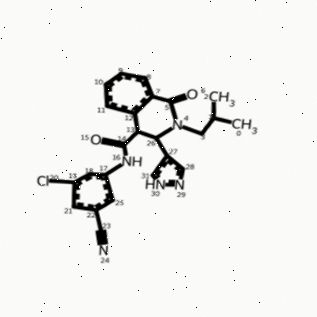 CC(C)CN1C(=O)c2ccccc2C(C(=O)Nc2cc(Cl)cc(C#N)c2)C1c1cn[nH]c1